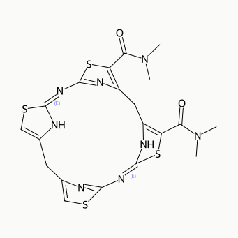 CN(C)C(=O)C1=C2Cc3nc(sc3C(=O)N(C)C)/N=C3\NC(=CS3)Cc3csc(n3)/N=C(\N2)S1